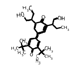 CCC(CO)C1=CC(=C2C=C(C(C)(C)C)C(=O)C(C(C)(C)C)=C2)C=C(C(CC)CO)C1=O